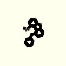 Nc1cccc2sc3cccc(Cc4ccccc4)c3c12